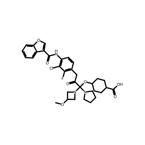 COC1CN(C(OC2CCC(C(=O)O)CC2)(C(=O)Cc2ccc(NC(=O)c3coc4ccccc34)c(Cl)c2F)N2CCCC2)C1